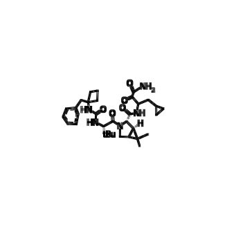 CC(C)(C)[C@H](NC(=O)NC1(Cc2ccccc2)CCC1)C(=O)N1CC2[C@@H]([C@H]1C(=O)NC(CC1CC1)C(=O)C(N)=O)C2(C)C